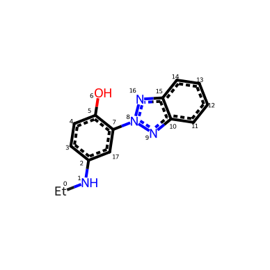 CCNc1ccc(O)c(-n2nc3ccccc3n2)c1